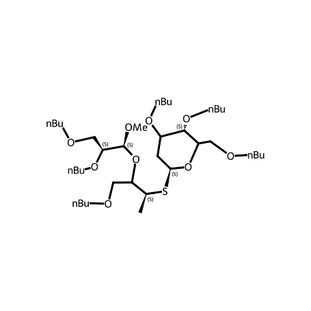 CCCCOCC1O[C@@H](S[C@@H](C)C(COCCCC)O[C@H](OC)[C@H](COCCCC)OCCCC)CC(OCCCC)[C@@H]1OCCCC